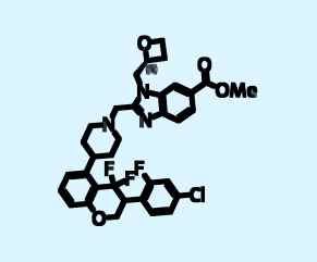 COC(=O)c1ccc2nc(CN3CCC(c4cccc5c4C(F)(F)C(c4ccc(Cl)cc4F)CO5)CC3)n(C[C@@H]3CCO3)c2c1